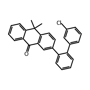 CC1(C)c2ccccc2C(=O)c2cc(-c3ccccc3-c3cccc(Cl)c3)ccc21